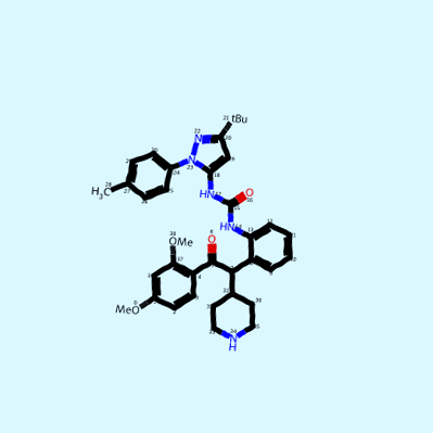 COc1ccc(C(=O)C(c2ccccc2NC(=O)Nc2cc(C(C)(C)C)nn2-c2ccc(C)cc2)C2CCNCC2)c(OC)c1